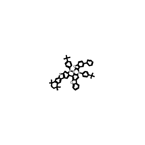 CC(C)(C)c1ccc(N2B3c4oc5ccc(-c6ccccc6)cc5c4N(c4ccc(C(C)(C)C)cc4)c4cc5c(oc6ccccc65)c(c43)-c3cc4c(cc32)sc2cc3c(cc24)C(C)(C)CCC3(C)C)cc1